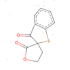 O=C1OCCC12Sc1ccccc1C2=O